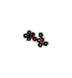 C1=Cc2c(n(-c3cccc4c3C(c3ccccc3)(c3ccccc3)c3ccccc3-4)c3ccc(C4C=C(c5ccccc5N(c5ccccc5)c5ccc(-c6ccccc6)cc5)C=CC4)cc23)CC1